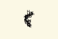 Cc1ccc(S(=O)(=O)N/N=C\C23CCC(NC(=O)OC(C)(C)C)(CC2)CC3)cc1